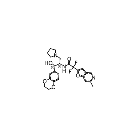 Cc1cc2oc(C(F)(F)C(=O)N[C@H](CN3CCCC3)[C@H](O)c3ccc4c(c3)OCCO4)cc2cn1